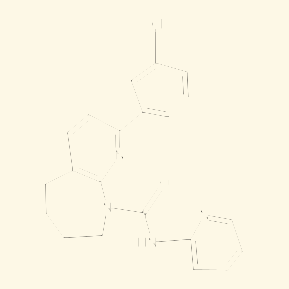 O=C(Nc1ccccn1)N1CCCCc2ccc(-c3cccc(Cl)c3)nc21